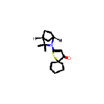 CC1(C)[C@@H]2CC[C@@H](C2)N1C1=CC(=O)C2(CCCCC2)S1